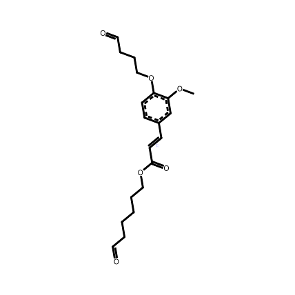 COc1cc(/C=C/C(=O)OCCCCCC=O)ccc1OCCCC=O